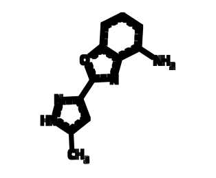 Cc1cc(-c2nc3c(N)cccc3o2)n[nH]1